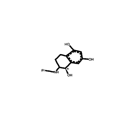 CC(C)NC1CCc2c(O)cc(O)cc2[C@H]1O